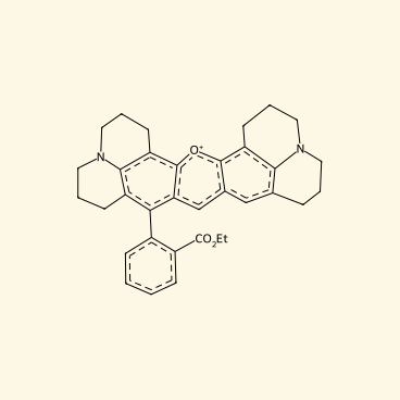 CCOC(=O)c1ccccc1-c1c2c3c(c4[o+]c5c6c7c(cc5cc14)CCCN7CCC6)CCCN3CCC2